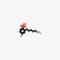 CCCCCCc1cc(F)ccc1S(=O)(=O)O